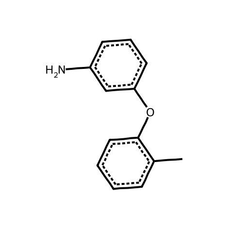 Cc1ccccc1Oc1cccc(N)c1